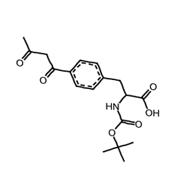 CC(=O)CC(=O)c1ccc(CC(NC(=O)OC(C)(C)C)C(=O)O)cc1